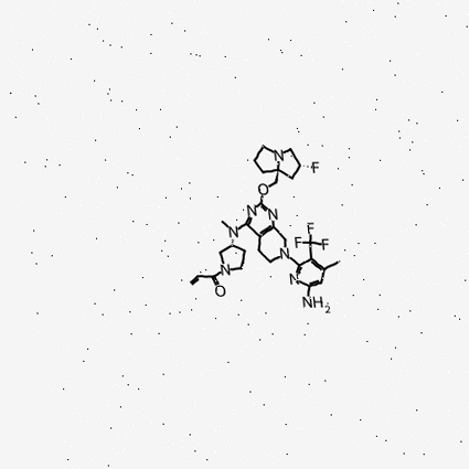 C=CC(=O)N1CC[C@@H](N(C)c2nc(OC[C@@]34CCCN3C[C@H](F)C4)nc3c2CCN(c2nc(N)cc(C)c2C(F)(F)F)C3)C1